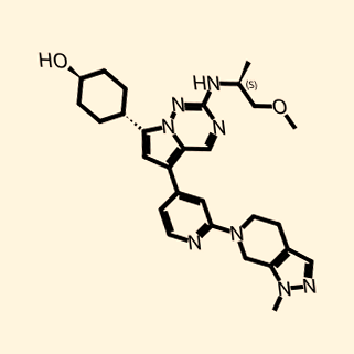 COC[C@H](C)Nc1ncc2c(-c3ccnc(N4CCc5cnn(C)c5C4)c3)cc([C@H]3CC[C@H](O)CC3)n2n1